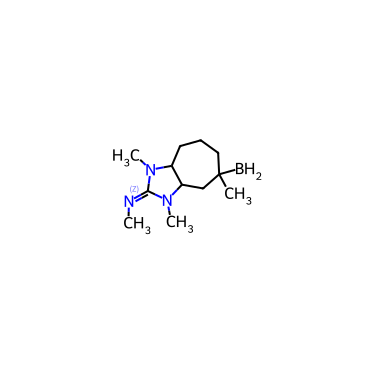 BC1(C)CCCC2C(C1)N(C)/C(=N\C)N2C